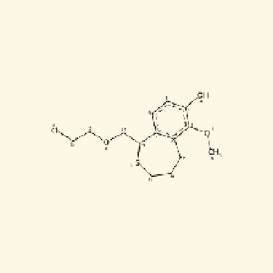 COc1c(O)ccc2c1CCCSC2COCCCl